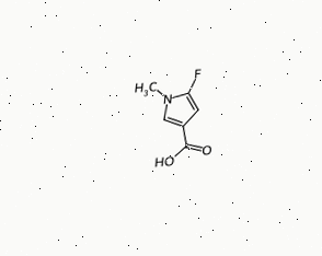 Cn1cc(C(=O)O)cc1F